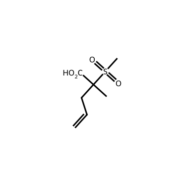 C=CCC(C)(C(=O)O)S(C)(=O)=O